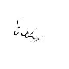 C=CCOC(=O)N1CCC[C@H]1C=CC1=C(C(=O)O)N2C(=O)[C@H]([C@@H](C)O[Si](C)(C)C)[C@H]2C1